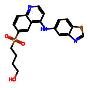 O=S(=O)(CCCCO)c1ccc2nccc(Nc3ccc4scnc4c3)c2c1